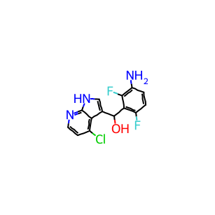 Nc1ccc(F)c(C(O)c2c[nH]c3nccc(Cl)c23)c1F